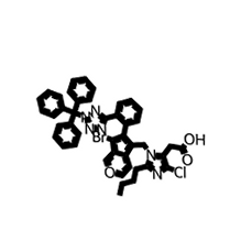 CCCCc1nc(Cl)c(CC(=O)O)n1Cc1c2ccocc-2c(Br)c1-c1ccccc1-c1nnn(C(c2ccccc2)(c2ccccc2)c2ccccc2)n1